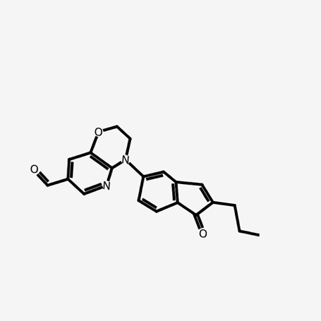 CCCC1=Cc2cc(N3CCOc4cc(C=O)cnc43)ccc2C1=O